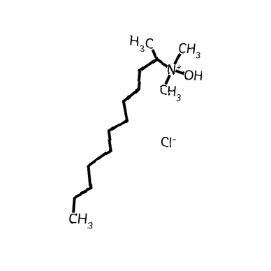 CCCCCCCCCCC(C)[N+](C)(C)O.[Cl-]